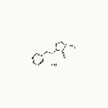 Cl.N[C@H]1CCN(CCc2ccccc2)C1=O